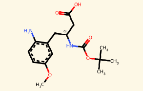 COc1ccc(N)c(C[C@@H](CC(=O)O)NC(=O)OC(C)(C)C)c1